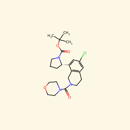 CC(C)(C)OC(=O)N1CCC[C@H]1c1cc(Cl)cc2c1CN(C(=O)N1CCOCC1)CC2